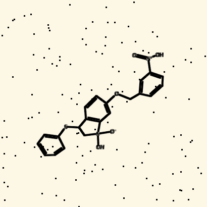 O=[N+](O)c1cccc(COc2ccc3c(c2)S([O-])(O)CC3Sc2ccccc2)c1